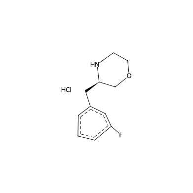 Cl.Fc1cccc(C[C@@H]2COCCN2)c1